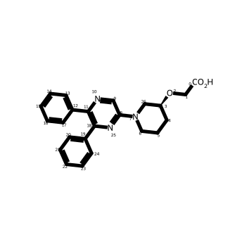 O=C(O)CO[C@H]1CCCN(c2cnc(-c3ccccc3)c(-c3ccccc3)n2)C1